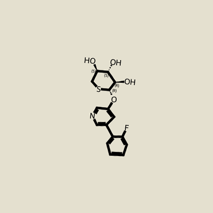 O[C@@H]1[C@@H](O)[C@H](Oc2cncc(-c3ccccc3F)c2)SC[C@H]1O